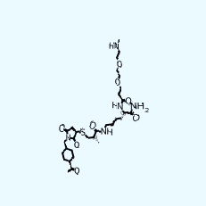 CNCCOCCOCCC(=O)N[C@@H](CCCCNC(=O)[C@H](C)CSC1CC(=O)N(CC2CCC(C(C)=O)CC2)C1=O)C(N)=O